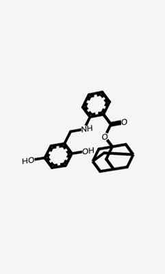 O=C(OC12CC3CC(CC(C3)C1)C2)c1ccccc1NCc1cc(O)ccc1O